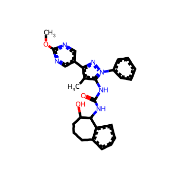 COc1ncc(-c2nn(-c3ccccc3)c(NC(=O)NC3c4ccccc4CCCC3O)c2C)cn1